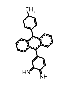 CC1C=CC(c2c3ccccc3c(C3=CC(=N)C(=N)C=C3)c3ccccc23)=CC1